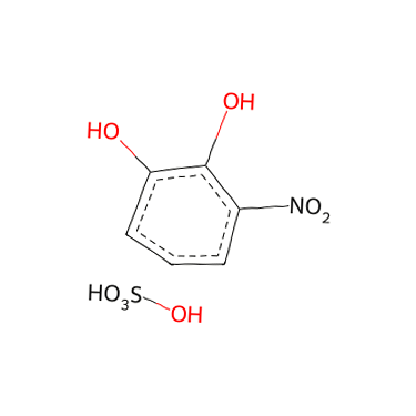 O=S(=O)(O)O.O=[N+]([O-])c1cccc(O)c1O